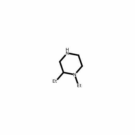 CCC1CNCCN1CC